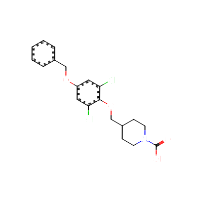 O=C(O)N1CCC(COc2c(Cl)cc(OCc3ccccc3)cc2Cl)CC1